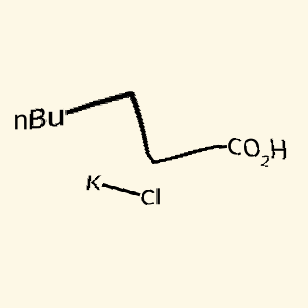 CCCCCCC(=O)O.[Cl][K]